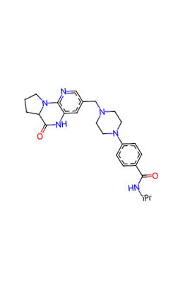 CC(C)NC(=O)c1ccc(N2CCN(Cc3cnc4c(c3)NC(=O)C3CCCN43)CC2)cc1